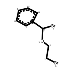 BrCCOC(Br)c1ccccc1